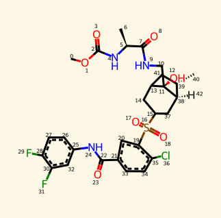 COC(=O)N[C@@H](C)C(=O)NC[C@@]1(O)C2CC(S(=O)(=O)c3cc(C(=O)Nc4ccc(F)c(F)c4)ccc3Cl)C[C@@H]1[C@@H](C)C2